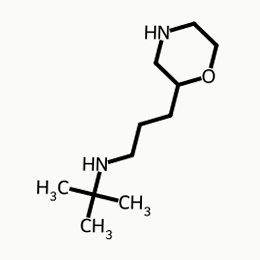 CC(C)(C)NCCCC1CNCCO1